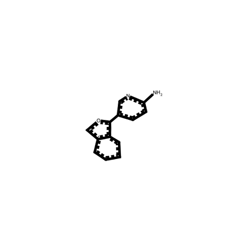 Nc1ccc(-c2occ3ccccc23)cn1